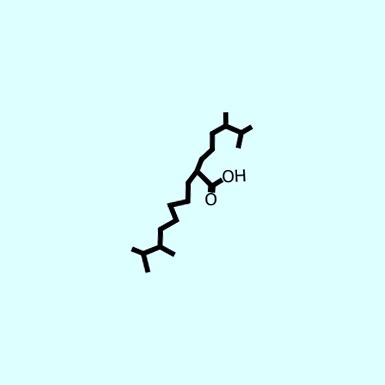 CC(C)C(C)CCCCCC(CCCC(C)C(C)C)C(=O)O